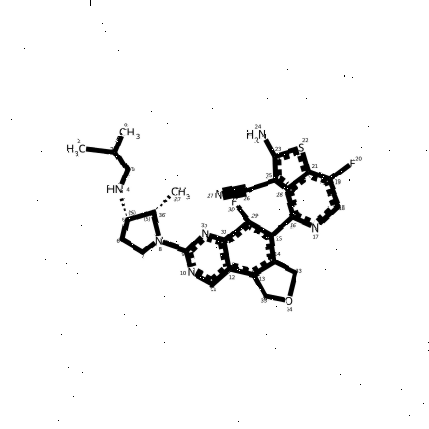 CC(C)CN[C@H]1CCN(c2ncc3c4c(c(-c5ncc(F)c6sc(N)c(C#N)c56)c(F)c3n2)COC4)[C@H]1C